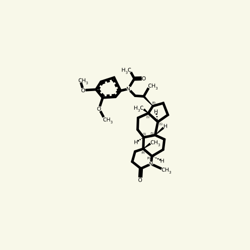 COc1ccc(N(CC(C)[C@H]2CC[C@H]3[C@@H]4CC[C@H]5N(C)C(=O)CC[C@]5(C)[C@H]4CC[C@]23C)C(C)=O)cc1OC